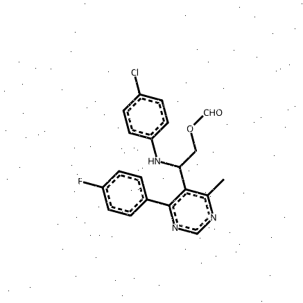 Cc1ncnc(-c2ccc(F)cc2)c1C(COC=O)Nc1ccc(Cl)cc1